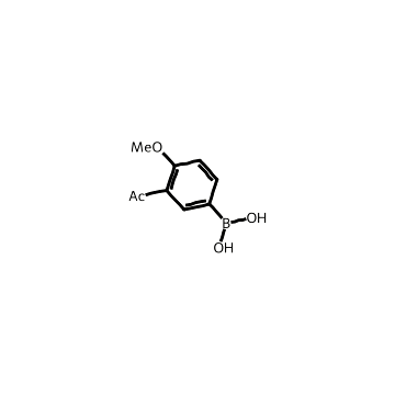 COc1ccc(B(O)O)cc1C(C)=O